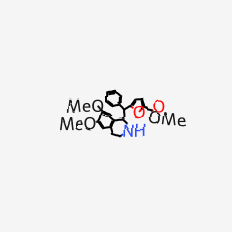 COC(=O)c1ccc(C(c2ccccc2)C2CNCCc3cc(OC)c(OC)cc32)o1